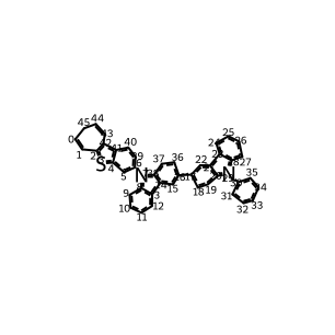 C1=Cc2sc3cc(-n4c5ccccc5c5cc(-c6ccc7c(c6)c6ccccc6n7-c6ccccc6)ccc54)ccc3c2C=CC1